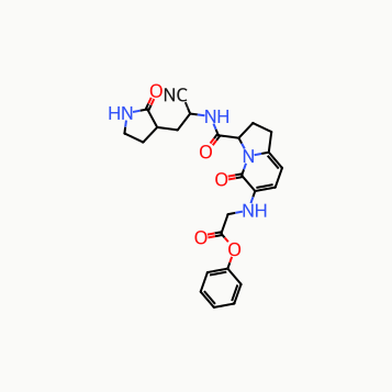 N#CC(CC1CCNC1=O)NC(=O)C1CCc2ccc(NCC(=O)Oc3ccccc3)c(=O)n21